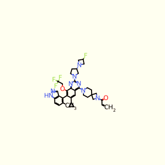 C=CC(=O)N1CC2(CCN(c3nc(N4CC[C@@H](N5CC(F)C5)C4)nc4c(OCC(F)(F)F)c(-c5c(C)ccc6[nH]ncc56)c(C5CC5)cc34)CC2)C1